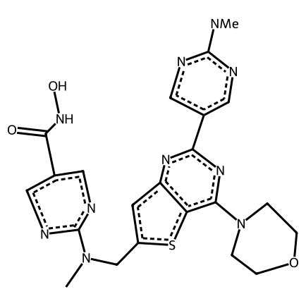 CNc1ncc(-c2nc(N3CCOCC3)c3sc(CN(C)c4ncc(C(=O)NO)cn4)cc3n2)cn1